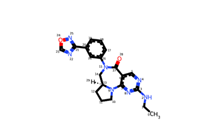 CCNc1ncc2c(n1)N1CCC[C@H]1CN(c1cccc(-c3ncon3)c1)C2=O